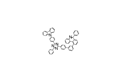 c1ccc(-c2nc(-c3ccc(-c4cccc(-c5cccc6c(-c7ccccc7)nc7ccccc7c56)c4)cc3)nc(-c3ccc(-n4c5ccccc5c5ccccc54)cc3)n2)cc1